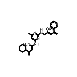 C=C(/C=C(/CNc1nc(C)cc(N/C(N)=C/C(=C)C2CCCCC2)n1)OC)c1ccccc1